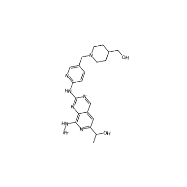 CC(C)Nc1nc(C(C)O)cc2cnc(Nc3ccc(CN4CCC(CO)CC4)cn3)nc12